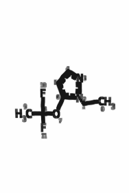 CCn1n[c]cc1OC(C)(F)F